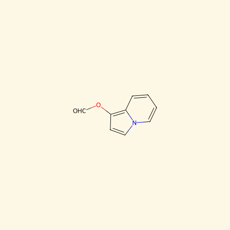 O=COc1ccn2ccccc12